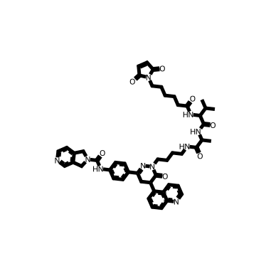 CC(NC(=O)C(NC(=O)CCCCCN1C(=O)C=CC1=O)C(C)C)C(=O)NCCCCN1N=C(c2ccc(NC(=O)N3Cc4ccncc4C3)cc2)CC(c2cccc3ncccc23)C1=O